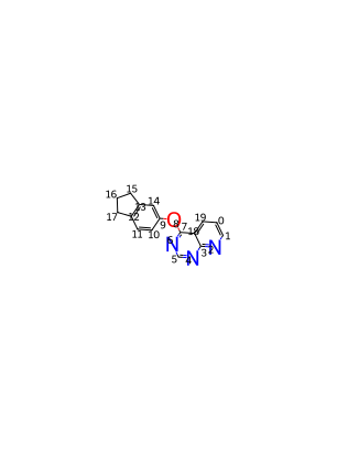 c1cnc2ncnc(Oc3ccc4c(c3)CCC4)c2c1